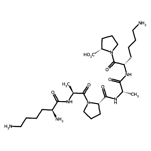 C[C@H](NC(=O)[C@@H]1CCCN1C(=O)[C@H](C)NC(=O)[C@@H](N)CCCCN)C(=O)N[C@@H](CCCCN)C(=O)N1CCC[C@H]1C(=O)O